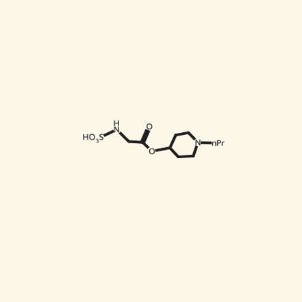 CCCN1CCC(OC(=O)CNS(=O)(=O)O)CC1